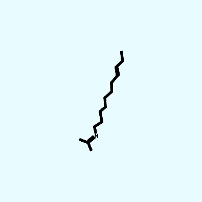 CCC=CCCCCCCCN=C(C)C